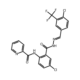 O=C(Nc1ccc(Cl)cc1C(=O)NN=Cc1ccc(Cl)c(C(F)(F)F)c1)c1ccccn1